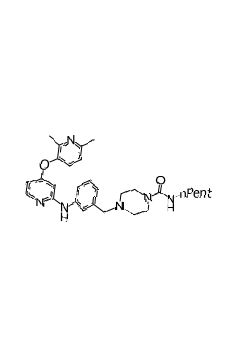 CCCCCNC(=O)N1CCN(Cc2cccc(Nc3cc(Oc4ccc(C)nc4C)ccn3)c2)CC1